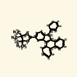 CC1(C)OB(c2ccc3c(c2)c2c4ccccc4c4ccccc4c2n3-c2ccccc2)OC1(C)C